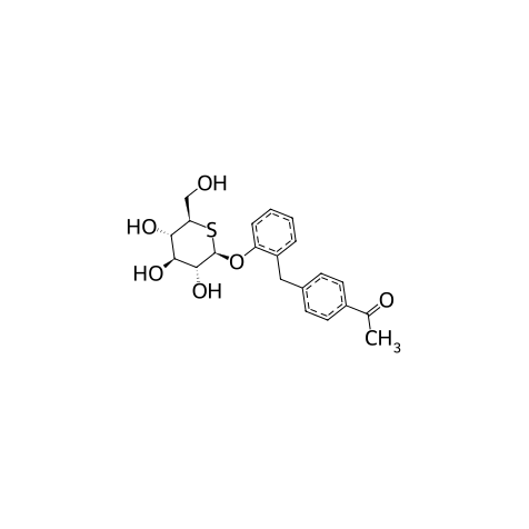 CC(=O)c1ccc(Cc2ccccc2O[C@@H]2S[C@H](CO)[C@@H](O)[C@H](O)[C@H]2O)cc1